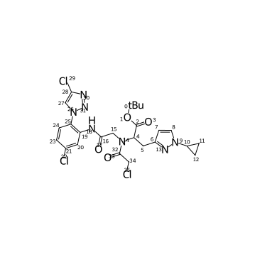 CC(C)(C)OC(=O)C(Cc1ccn(C2CC2)n1)N(CC(=O)Nc1cc(Cl)ccc1-n1cc(Cl)nn1)C(=O)CCl